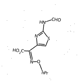 CCCO/N=C(/C(=O)O)c1csc(NC=O)n1